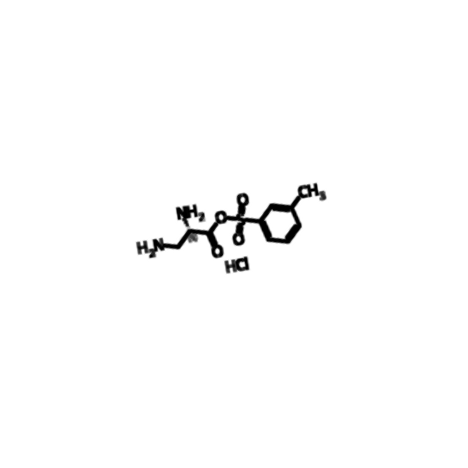 Cc1cccc(S(=O)(=O)OC(=O)[C@@H](N)CN)c1.Cl